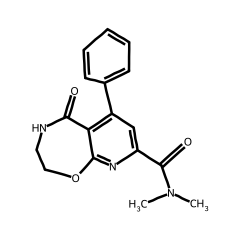 CN(C)C(=O)c1cc(-c2ccccc2)c2c(n1)OCCNC2=O